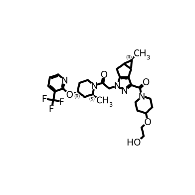 C[C@@H]1C2Cc3c(c(C(=O)N4CCC(OCCO)CC4)nn3CC(=O)N3CC[C@@H](Oc4ncccc4C(F)(F)F)C[C@@H]3C)C21